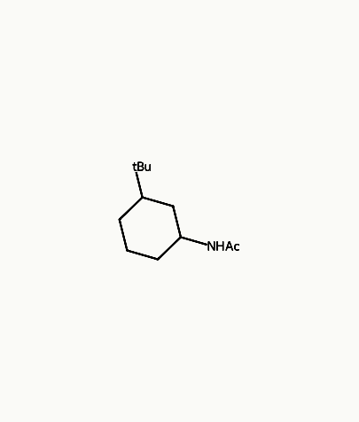 CC(=O)NC1CCCC(C(C)(C)C)C1